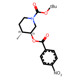 C[C@@H]1CCN(C(=O)OC(C)(C)C)C[C@H]1OC(=O)c1ccc([N+](=O)[O-])cc1